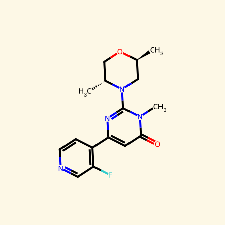 C[C@@H]1CO[C@@H](C)CN1c1nc(-c2ccncc2F)cc(=O)n1C